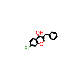 O[C@H]1c2ccc(Br)cc2OC[C@@H]1Cc1ccccc1